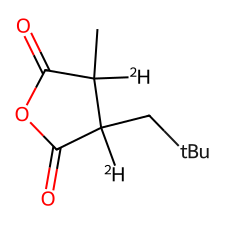 [2H]C1(C)C(=O)OC(=O)C1([2H])CC(C)(C)C